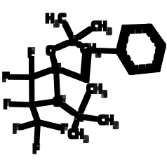 C[Si](C)(C)O[Si](C=Cc1ccccc1)(O[Si](C)(C)C)C(F)(F)C(F)(F)C(F)(F)F